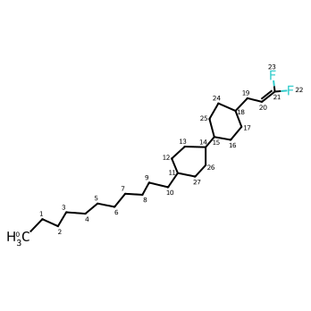 CCCCCCCCCCCC1CCC(C2CCC(CC=C(F)F)CC2)CC1